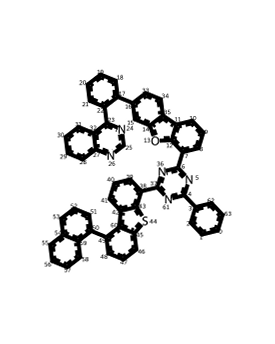 c1ccc(-c2nc(-c3cccc4c3oc3cc(-c5ccccc5-c5ncnc6ccccc56)ccc34)nc(-c3cccc4c3sc3cccc(-c5cccc6ccccc56)c34)n2)cc1